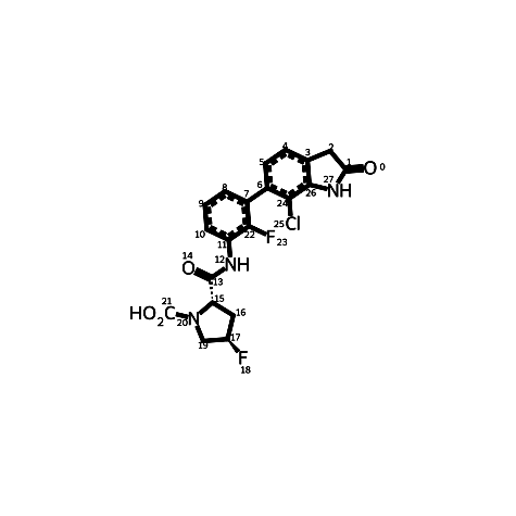 O=C1Cc2ccc(-c3cccc(NC(=O)[C@@H]4C[C@@H](F)CN4C(=O)O)c3F)c(Cl)c2N1